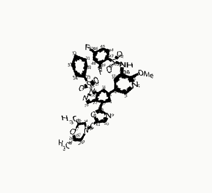 COc1ncc(-c2cc(-c3ncc(CN4C[C@@H](C)O[C@@H](C)C4)o3)c3cnn(S(=O)(=O)c4ccccc4)c3c2)cc1NS(=O)(=O)c1ccc(F)cc1F